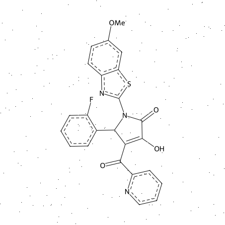 COc1ccc2nc(N3C(=O)C(O)=C(C(=O)c4ccccn4)C3c3ccccc3F)sc2c1